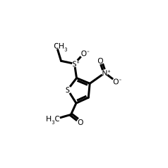 CC[S+]([O-])c1sc(C(C)=O)cc1[N+](=O)[O-]